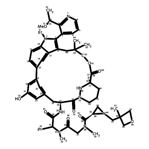 CCn1c(-c2cccnc2[C@H](C)OC)c2c3cc(ccc31)-c1cc(O)cc(c1)C[C@H](NC(=O)C(C(C)C)N(C)C(=O)CN(C)C(=O)[C@H]1CN1CC1(C)COC1)C(=O)N1CCC[C@H](N1)C(=O)OCC(C)(C)C2